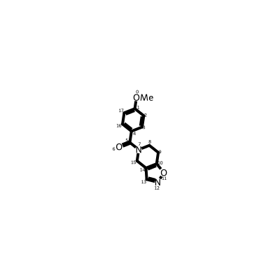 COc1ccc(C(=O)N2CCc3oncc3C2)cc1